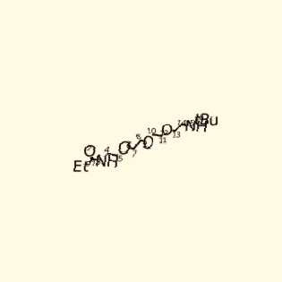 CCC(=O)NCCOCCOCCOCCNC(C)(C)C